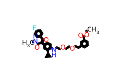 CCOC(=O)c1cccc(CCOCCOCCNc2cc3oc(-c4ccc(F)cc4)c(C(=O)NC)c3cc2C2CC2)c1